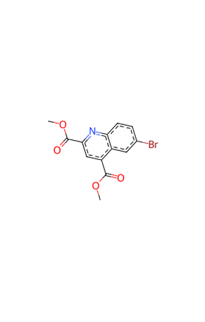 COC(=O)c1cc(C(=O)OC)c2cc(Br)ccc2n1